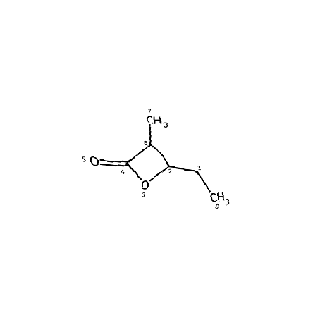 CCC1OC(=O)C1C